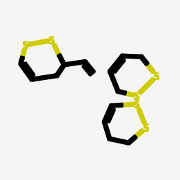 C1=CCSSC1.C1=CSSCC1.C=CC1CC=CSS1